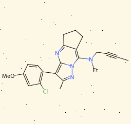 CC#CCN(CC)c1c2c(nc3c(-c4ccc(OC)cc4Cl)c(C)nn13)CCC2